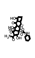 C[C@H]1c2cccc(O)c2C(=O)C2=C(O)[C@]3(O)C(=O)C(C(N)=O)=C(O)C[C@@H]3[C@@H](OC(=O)Nc3ccccc3)[C@@H]21